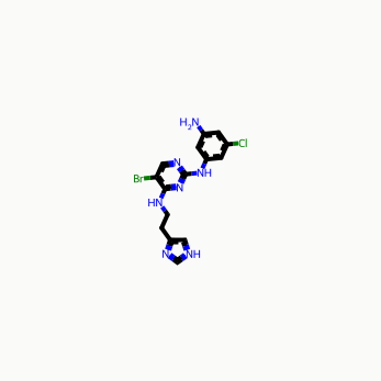 Nc1cc(Cl)cc(Nc2ncc(Br)c(NCCc3c[nH]cn3)n2)c1